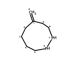 C=C1CCCCPPCC1